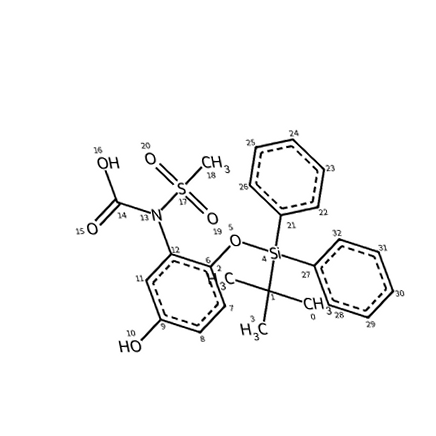 CC(C)(C)[Si](Oc1ccc(O)cc1N(C(=O)O)S(C)(=O)=O)(c1ccccc1)c1ccccc1